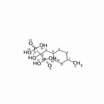 CC1CCC(CC(O)(P(=O)(O)O)P(=O)(O)O)CC1